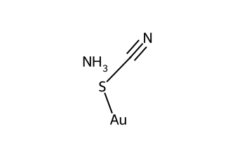 N.N#C[S][Au]